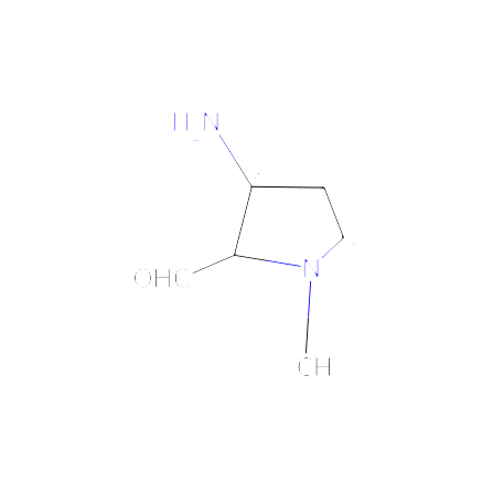 CN1CCC(N)C1C=O